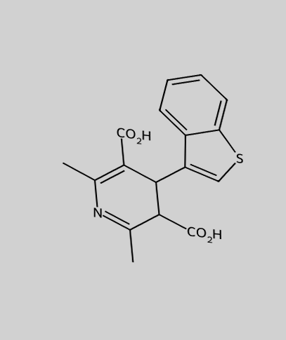 CC1=NC(C)=C(C(=O)O)C(c2csc3ccccc23)C1C(=O)O